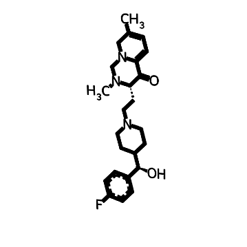 CC1=CC=C2C(=O)[C@H](CCN3CCC([C@@H](O)c4ccc(F)cc4)CC3)N(C)CN2C1